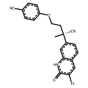 CCc1cc2ccc([C@](C)(C#N)CCOc3ccc(C#N)cc3)cc2[nH]c1=O